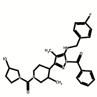 Cc1c(C2CCN(C(=O)N3CCC(O)C3)CC2C)nn(C(=O)c2ccccc2)c1NCc1ccc(F)cc1